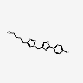 OCCCCc1cn(Cc2csc(-c3ccc(Cl)cc3)n2)nn1